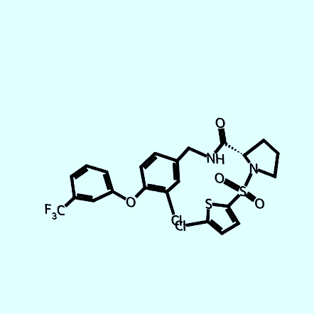 O=C(NCc1ccc(Oc2cccc(C(F)(F)F)c2)c(Cl)c1)[C@@H]1CCCN1S(=O)(=O)c1ccc(Cl)s1